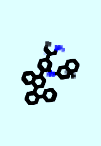 CC/C=C(\CN)C1C=C(NC2C=C[C@H]3CCCCC3C2)C(C2=C3C=CC=CC3C(C3=CCCCC3C3CC=CCC3)CC2)=CC1